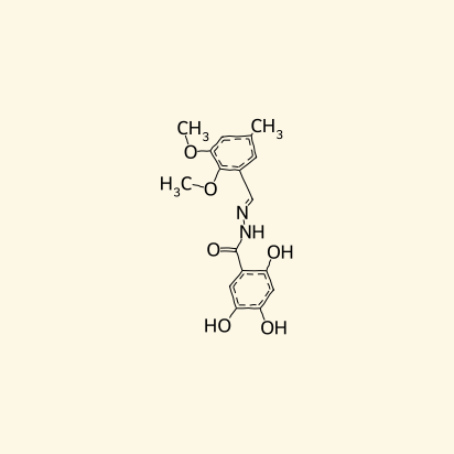 COc1cc(C)cc(/C=N/NC(=O)c2cc(O)c(O)cc2O)c1OC